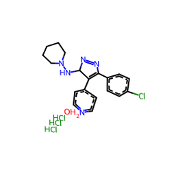 Cl.Cl.Cl.Clc1ccc(C2=C(c3ccncc3)C(NN3CCCCC3)N=N2)cc1.O